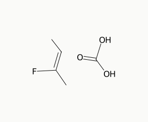 CC=C(C)F.O=C(O)O